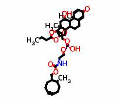 CCCC1OC2CC3C4CCC5=CC(=O)C=CC5(C)C4C(O)CC3(C)C2(C(=O)COP(O)OCCNC(=O)OCC2CCC#CCCC2C)O1